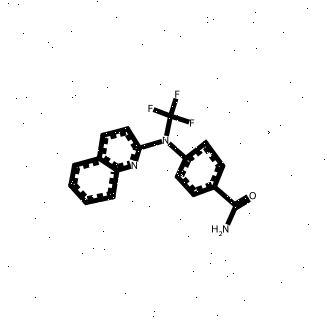 NC(=O)c1ccc(N(c2ccc3ccccc3n2)C(F)(F)F)cc1